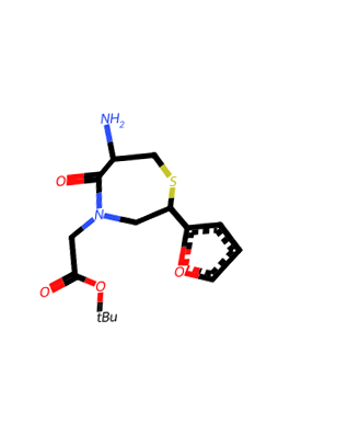 CC(C)(C)OC(=O)CN1CC(c2ccco2)SCC(N)C1=O